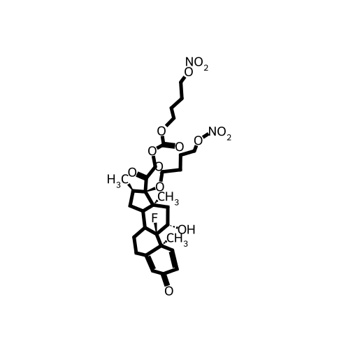 C[C@@H]1CC2C3CCC4=CC(=O)C=C[C@]4(C)[C@@]3(F)[C@@H](O)C[C@]2(C)[C@@]1(OC(=O)CCCO[N+](=O)[O-])C(=O)COC(=O)OCCCCO[N+](=O)[O-]